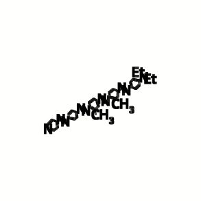 CCN(CC)c1ccc(N=Nc2ccc(N=Nc3ccc(N=Nc4ccc(N=Nc5ccncc5)cc4)c(C)c3)c(C)c2)cc1